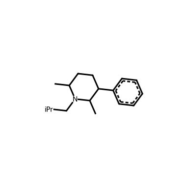 CC(C)CN1C(C)CCC(c2ccccc2)C1C